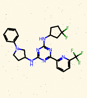 FC1(F)CCC(Nc2nc(NC3CCN(c4ccccc4)C3)nc(-c3cccc(C(F)(F)F)n3)n2)C1